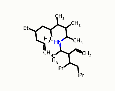 C=CCC(CC)CC(C)C(C)C(C)C(C)NC(C)C(C=C)C(CC(C)C)C(C)C